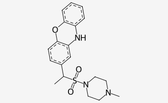 CC(c1ccc2c(c1)Nc1ccccc1O2)S(=O)(=O)N1CCN(C)CC1